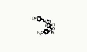 CCN1CCC(CCn2cnc3c(Cl)c(C(=O)N(CC)c4ccc(C(F)(F)F)cc4)cnc32)CC1